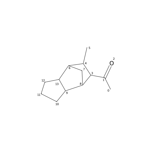 CC(=O)C1C(C)C2CC1C1CCCC21